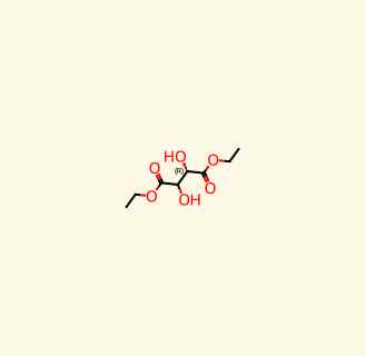 CCOC(=O)C(O)[C@@H](O)C(=O)OCC